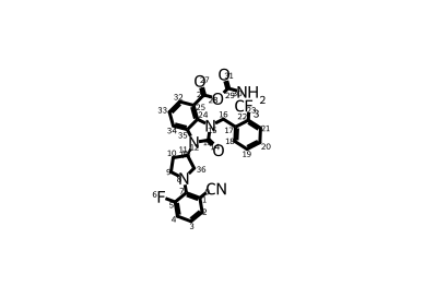 N#Cc1cccc(F)c1N1CC[C@@H](n2c(=O)n(Cc3ccccc3C(F)(F)F)c3c(C(=O)OC(N)=O)cccc32)C1